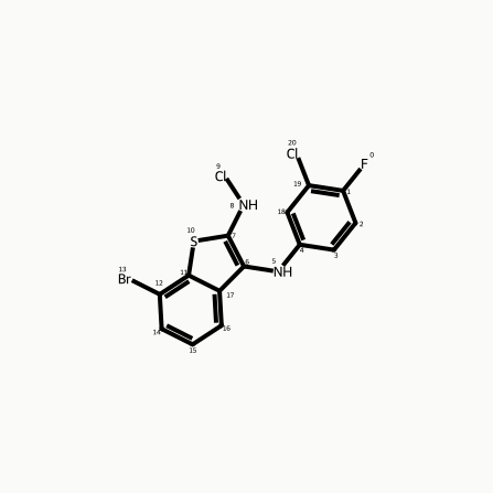 Fc1ccc(Nc2c(NCl)sc3c(Br)cccc23)cc1Cl